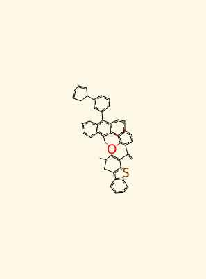 C=C(C1=CC(C)Cc2c1sc1ccccc21)c1ccccc1OCc1c2ccccc2c(-c2cccc(C3C=CC=CC3)c2)c2ccccc12